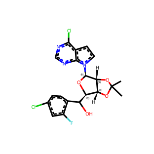 CC1(C)O[C@@H]2[C@H](O1)[C@@H](C(O)c1ccc(Cl)cc1F)O[C@H]2n1ccc2c(Cl)ncnc21